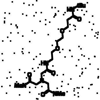 CNC(=O)CN(CC(=O)NC)CC(=O)NCCOCCOCCC(=O)NC(C)(C)C